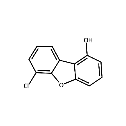 Oc1cccc2oc3c(Cl)cccc3c12